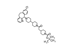 CC(C)(C)OC(=O)N1CCC(CC(=O)N2CCC(C3CCN([C@@H]4c5ccc(Cl)cc5CCc5cccnc54)CC3)CC2)CC1